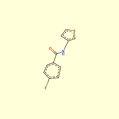 O=C(Nc1ccsc1)c1ccc(F)cc1